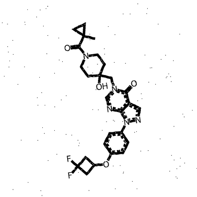 CC1(C(=O)N2CCC(O)(Cn3cnc4c(cnn4-c4ccc(OC5CC(F)(F)C5)cc4)c3=O)CC2)CC1